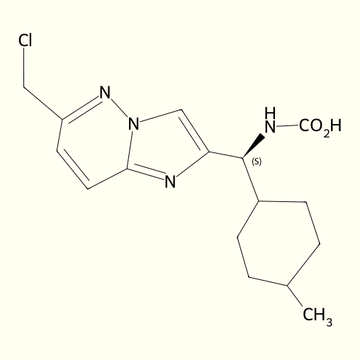 CC1CCC([C@H](NC(=O)O)c2cn3nc(CCl)ccc3n2)CC1